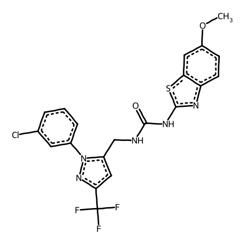 COc1ccc2nc(NC(=O)NCc3cc(C(F)(F)F)nn3-c3cccc(Cl)c3)sc2c1